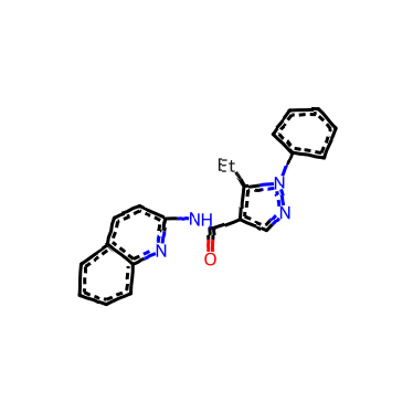 CCc1c(C(=O)Nc2ccc3ccccc3n2)cnn1-c1ccccc1